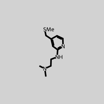 CSCc1ccnc(NCCN(C)C)c1